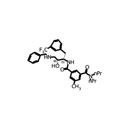 CCCN(CCC)C(=O)c1cc(C)cc(C(=O)N[C@@H](Cc2cccc(C(F)(F)F)c2)[C@H](O)CNCc2ccccc2)c1